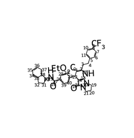 CCOC(=O)C1=C(CCc2ccc(C(F)(F)F)cc2)Nc2c(c(=O)n3n2CCC3)C1c1ccc(C(=O)N[C@@H]2CCc3ccccc32)cc1